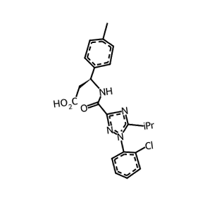 Cc1ccc([C@H](CC(=O)O)NC(=O)c2nc(C(C)C)n(-c3ccccc3Cl)n2)cc1